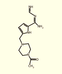 CC(=O)N1CCN(Cc2ccc(/C(N)=N\C=N)[nH]2)CC1